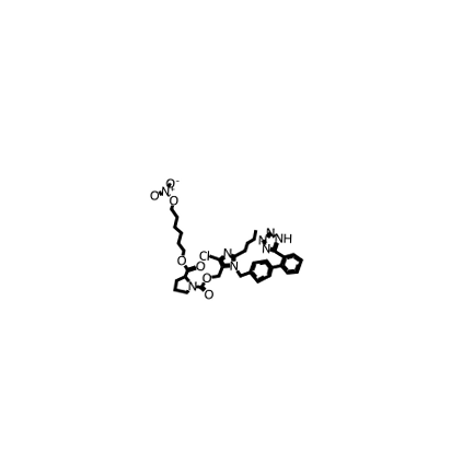 CCCCc1nc(Cl)c(COC(=O)N2CCCC2C(=O)OCCCCCCO[N+](=O)[O-])n1Cc1ccc(-c2ccccc2-c2nnn[nH]2)cc1